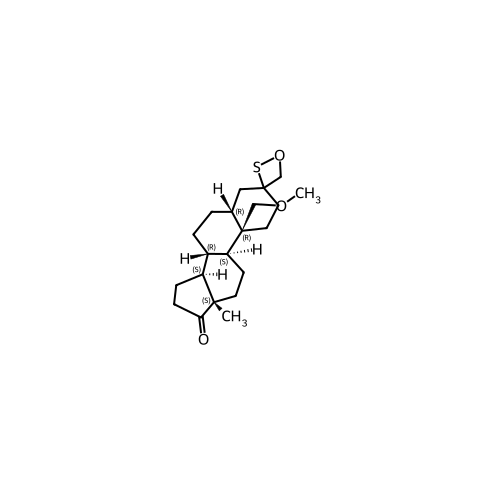 COC[C@]12CCC3(COS3)C[C@H]1CC[C@@H]1[C@@H]2CC[C@]2(C)C(=O)CC[C@@H]12